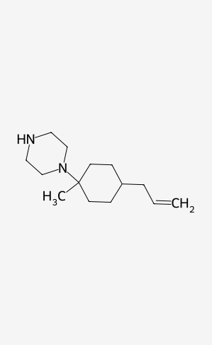 C=CCC1CCC(C)(N2CCNCC2)CC1